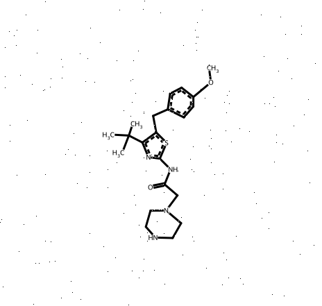 COc1ccc(Cc2sc(NC(=O)CN3CCNCC3)nc2C(C)(C)C)cc1